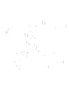 CCOC(=O)C1CCN(Cc2ccc3c(c2)nc(Nc2nn(COCC[Si](C)(C)C)c4ccc(-c5cnccc5OC)cc24)n3[C@H]2CC[C@H](O[Si](C)(C)C(C)(C)C)CC2)CC1